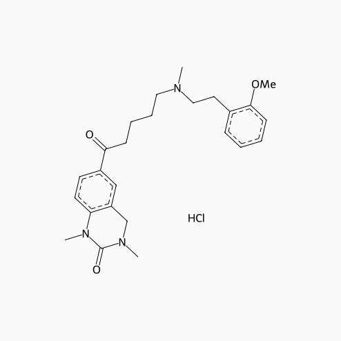 COc1ccccc1CCN(C)CCCCC(=O)c1ccc2c(c1)CN(C)C(=O)N2C.Cl